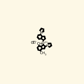 Cc1ccc(C)c2c1C=C(n1cccc1)[CH]2[Zr+2][CH]1C=Cc2c1cccc2-n1cccc1.[Cl-].[Cl-]